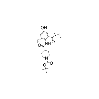 CC(C)(C)OC(=O)N1CCC(C(=O)Nc2c(F)cc(O)cc2C(N)=O)CC1